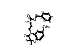 CC(=O)Oc1ccc2c(c1)N(CCNC(=O)OCc1ccccc1)C(=O)C(C)(C)O2